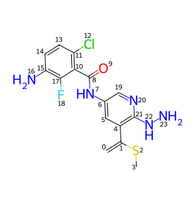 C=C(SC)c1cc(NC(=O)c2c(Cl)ccc(N)c2F)cnc1NN